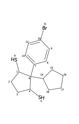 SC1CCC(S)C1(c1ccc(Br)cc1)C1CCCC1